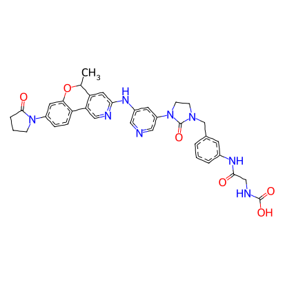 CC1Oc2cc(N3CCCC3=O)ccc2-c2cnc(Nc3cncc(N4CCN(Cc5cccc(NC(=O)CNC(=O)O)c5)C4=O)c3)cc21